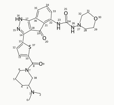 CN(C)C1CCCN(C(=O)c2ccc(-c3n[nH]c4c3C(=O)c3c(NC(=O)NN5CCOCC5)cccc3-4)s2)C1